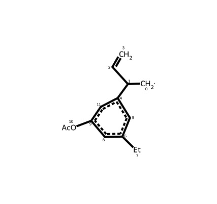 [CH2]C(C=C)c1cc(CC)cc(OC(C)=O)c1